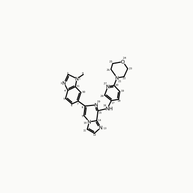 Cn1cnc2ccc(-c3cn4ccnc4c(Nc4ccc(N5CCOCC5)nc4)n3)cc21